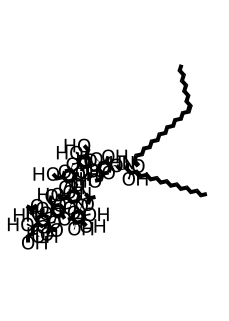 CCCCCCCC/C=C\CCCCCCCCCCCCCC(=O)N[C@@H](CO[C@@H]1OC(CO)[C@@H](O[C@@H]2OC(CO)[C@H](O)[C@H](O[C@H]3OC(CO)[C@H](O)[C@H](O[C@@H]4OC(CO)[C@@H](O[C@@H]5OC(CO)[C@H](O)[C@H](O[C@]6(C(=O)O)CC(O)[C@@H](NC(C)=O)C([C@H](O)[C@H](O)CO)O6)C5O)[C@H](O[C@H]5OC(C)[C@@H](O)C(O)[C@@H]5O)C4NC(C)=O)C3O)C2O)[C@H](O)C1O)[C@H](O)/C=C/CCCCCCCCCCCCC